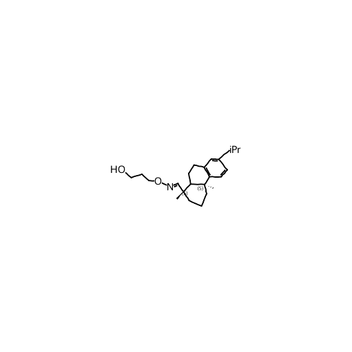 CC(C)c1ccc2c(c1)CCC1[C@@](C)(C=NOCCCO)CCC[C@]21C